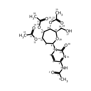 CC(=O)Nc1ccn([C@H]2C[C@H](OC(C)=O)[C@H](OC(C)=O)[C@H](OC(C)=O)[C@@H](CO)O2)c(=O)n1